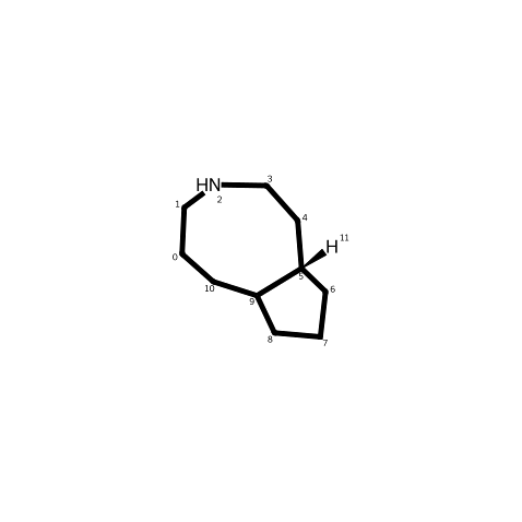 C1CNCC[C@@H]2CCCC2C1